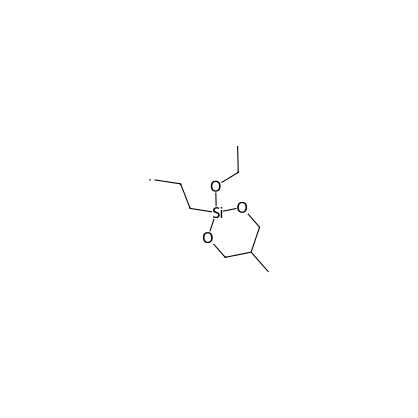 [CH2]CC[Si]1(OCC)OCC(C)CO1